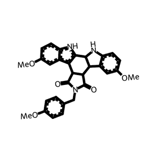 COc1ccc(CN2C(=O)C3c4c([nH]c5ccc(OC)cc45)C4Nc5ccc(OC)cc5C4C3C2=O)cc1